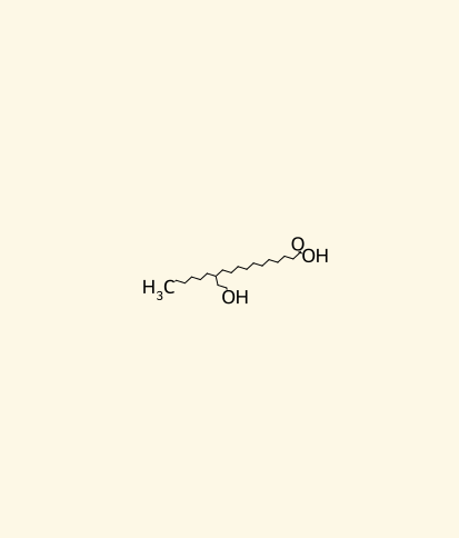 CCCCCCC(CCO)CCCCCCCCCCC(=O)O